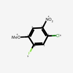 COc1cc([N+](=O)[O-])c(Cl)cc1F